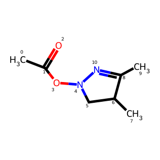 CC(=O)ON1CC(C)C(C)=N1